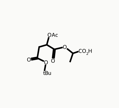 CC(=O)OC(CC(=O)OC(C)(C)C)C(=O)OC(C)C(=O)O